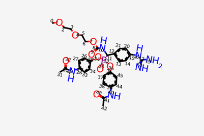 COCCOCCOC(=O)NC(c1ccc(NC(=N)N)cc1)P(=O)(Oc1ccc(NC(C)=O)cc1)Oc1ccc(NC(C)=O)cc1